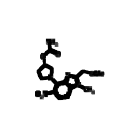 COCc1nc2c(N3CC[C@H](OC(N)=O)C3)c([N+](=O)[O-])ccc2n1C